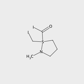 CN1CCCS1(CI)C(=O)I